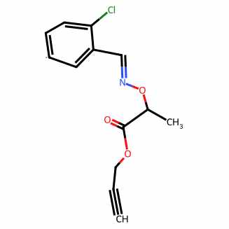 C#CCOC(=O)C(C)ON=Cc1c[c]ccc1Cl